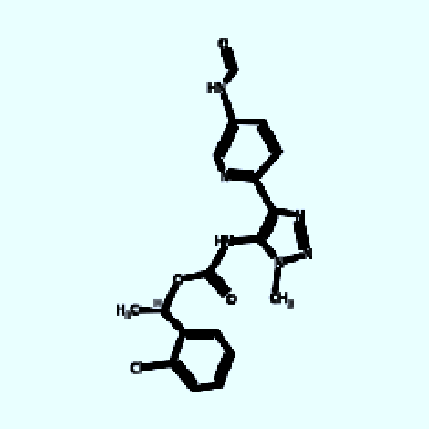 C[C@@H](OC(=O)Nc1c(-c2ccc(NC=O)cn2)nnn1C)c1ccccc1Cl